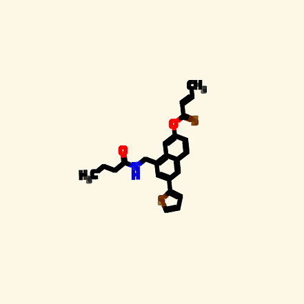 CC=CC(=S)Oc1ccc2cc(-c3cccs3)cc(CNC(=O)CCC)c2c1